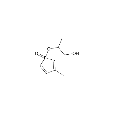 CC1=CP(=O)(OC(C)CO)C=C1